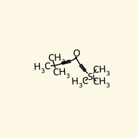 CC(C)(C)C#CC(=O)C#C[Si](C)(C)C